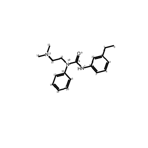 CCc1cccc(NC(=O)N(CCN(C)C)c2ccccc2)c1